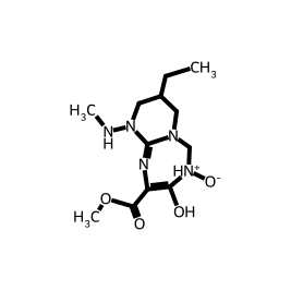 CCC1CN2C[NH+]([O-])C(O)=C(C(=O)OC)N=C2N(NC)C1